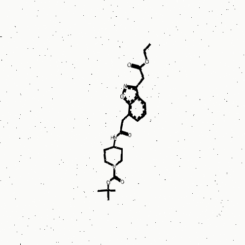 CCOC(=O)Cc1noc2c(CC(=O)NC3CCN(C(=O)OC(C)(C)C)CC3)cccc12